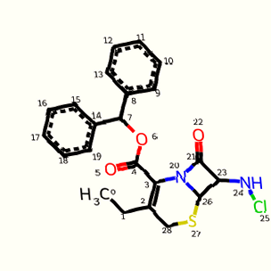 CCC1=C(C(=O)OC(c2ccccc2)c2ccccc2)N2C(=O)C(NCl)C2SC1